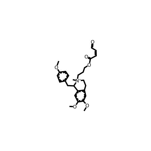 COc1ccc(CC2c3cc(OC)c(OC)cc3CC[N+]2(C)CCCOC(=O)/C=C\C=O)cc1